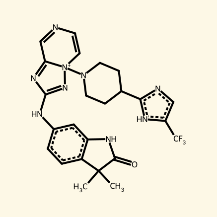 CC1(C)C(=O)Nc2cc(NC3=N[N+]4(N5CCC(c6ncc(C(F)(F)F)[nH]6)CC5)C=CN=CC4=N3)ccc21